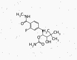 CNC(=O)c1ccc(C[C@H](OC(N)=O)C(O)C(C)(C)C)cc1F